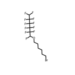 FC(F)C(F)(F)C(F)(F)C(F)(F)C(F)(F)C(F)OCCCCCCBr